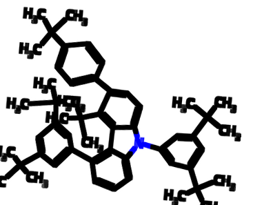 CC(C)(C)c1ccc(-c2ccc3c(c2C(C)(C)C)c2c(-c4cc(C(C)(C)C)cc(C(C)(C)C)c4)cccc2n3-c2cc(C(C)(C)C)cc(C(C)(C)C)c2)cc1